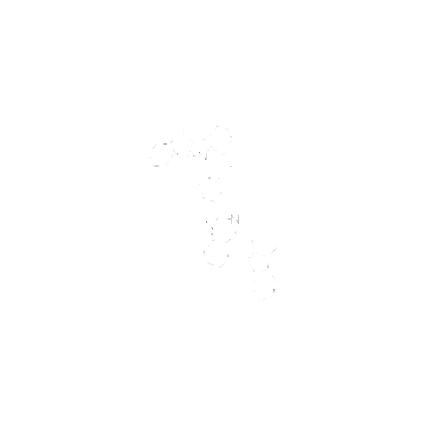 C/C=c1\c(=C(/C)c2nc(-c3ccc4c(c3)C(C)(C)c3cccc5c6oc7ccccc7c6n-4c35)nc3ccccc23)sc2ccccc12